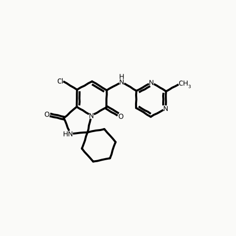 Cc1nccc(Nc2cc(Cl)c3n(c2=O)C2(CCCCC2)NC3=O)n1